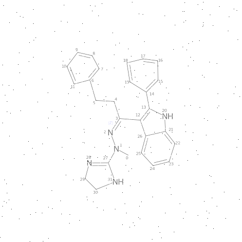 CN(/N=C(/CCc1ccccc1)c1c(-c2ccccc2)[nH]c2ccccc12)C1=NCCN1